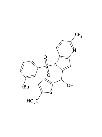 CC(C)(C)c1cccc(S(=O)(=O)n2c(C(O)c3ccc(C(=O)O)s3)cc3nc(C(F)(F)F)ccc32)c1